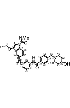 CNC(=O)n1cc(OCF)c2cc(N(C)c3ccnc(NC(=O)c4ccc(CN5CCC(O)CC5)cc4)c3)ccc21